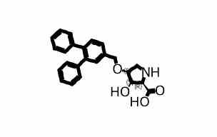 O=C(O)[C@@H]1NC[C@H](OCc2ccc(-c3ccccc3)c(-c3ccccc3)c2)[C@H]1O